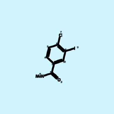 CNC(=O)c1ccc(Cl)c(I)c1